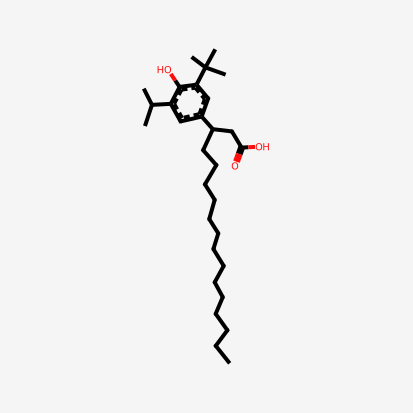 CCCCCCCCCCCCCCC(CC(=O)O)c1cc(C(C)C)c(O)c(C(C)(C)C)c1